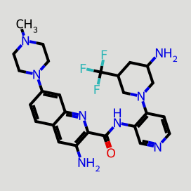 CN1CCN(c2ccc3cc(N)c(C(=O)Nc4cnccc4N4CC(N)CC(C(F)(F)F)C4)nc3c2)CC1